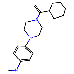 C=C(C1CCCCC1)N1CCN(c2ccc(NC)cc2)CC1